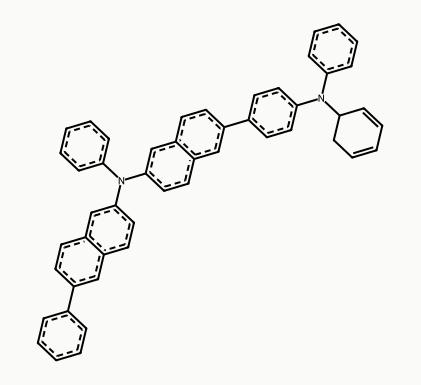 C1=CCC(N(c2ccccc2)c2ccc(-c3ccc4cc(N(c5ccccc5)c5ccc6cc(-c7ccccc7)ccc6c5)ccc4c3)cc2)C=C1